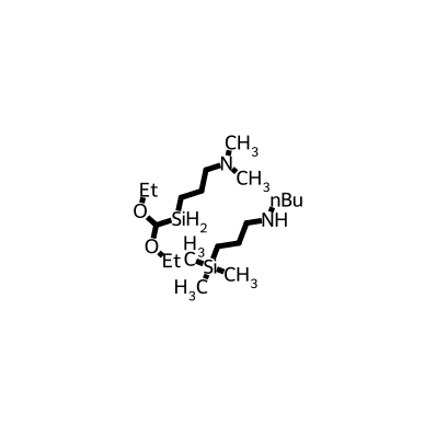 CCCCNCCC[Si](C)(C)C.CCOC(OCC)[SiH2]CCCN(C)C